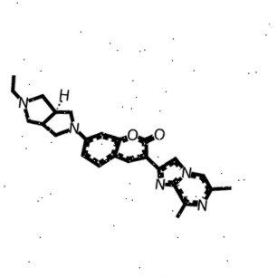 CCN1CC2CN(c3ccc4cc(-c5cn6cc(C)nc(C)c6n5)c(=O)oc4c3)C[C@@H]2C1